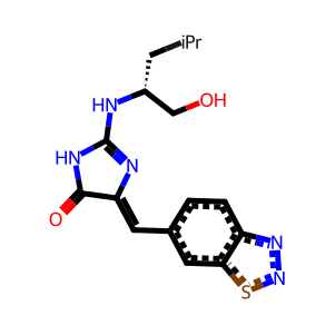 CC(C)C[C@H](CO)NC1=N/C(=C\c2ccc3nnsc3c2)C(=O)N1